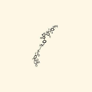 Cc1cc(F)c(C(=O)NCCCCCNCc2ccc(-c3cc4c(-c5cc(F)cc(NC(=O)c6ccc(C(C)(C)O)cc6F)c5C)ncnc4[nH]3)cc2)cc1N1CCC(=O)NC1=O